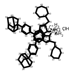 Cl.Cl.[CH3][Zr]([CH3])(=[SiH2])([CH]1C(CC2CCCCCC2)=Cc2c(-c3ccc(C45CC6CC(CC(C6)C4)C5)cc3)cccc21)[CH]1C(CC2CCCCCC2)=Cc2c(-c3ccc(C45CC6CC(CC(C6)C4)C5)cc3)cccc21